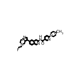 CN1CCN(c2ccc(C(=O)Nc3cc4cc(-c5cnn6c5CN(CCF)CC6)ccc4cn3)cn2)CC1